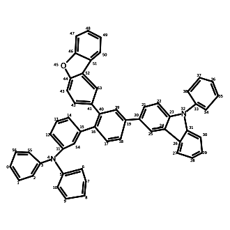 c1ccc(N(c2ccccc2)c2cccc(-c3ccc(-c4ccc5c(c4)c4ccccc4n5-c4ccccc4)cc3-c3ccc4oc5ccccc5c4c3)c2)cc1